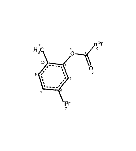 CCCC(=O)Oc1cc(C(C)C)ccc1C